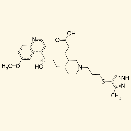 COc1ccc2nccc([C@@H](O)CCC3CCN(CCCSc4c[nH]nc4C)CC3CCC(=O)O)c2c1